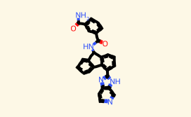 NC(=O)c1cccc(C(=O)NC2c3ccccc3-c3c(-c4nc5ccncc5[nH]4)cccc32)c1